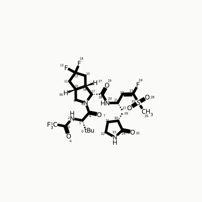 CC(C)(C)[C@H](NC(=O)C(F)(F)F)C(=O)N1C[C@@H]2CC(F)(F)C[C@@H]2[C@@H]1C(=O)N[C@H](/C=C(/F)S(C)(=O)=O)C[C@H]1CCNC1=O